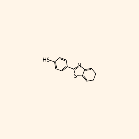 Sc1ccc(-c2nc3c(s2)=CCCC=3)cc1